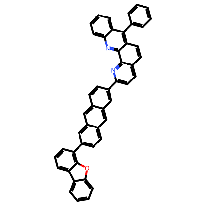 c1ccc(-c2c3ccccc3nc3c2ccc2ccc(-c4ccc5cc6cc(-c7cccc8c7oc7ccccc78)ccc6cc5c4)nc23)cc1